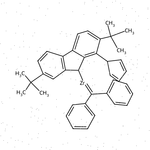 CC(C)(C)c1ccc2c(c1)[CH]([Zr]=[C](c1ccccc1)c1ccccc1)c1c-2ccc(C(C)(C)C)c1C1C=CC=C1